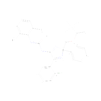 CC(C)c1cccc(C(C)C)c1NC(=O)NC1=NC(COC(C)[Si](C)(C)C)(c2ccccc2)N=C1c1ccccc1Cl